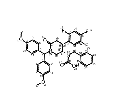 COc1ccc(C(c2ccc(OC)cc2)N2C[C@@H](N(Cc3ccccc3)C(=O)O)[C@H](c3cc(F)c(F)cc3F)CC2=O)cc1